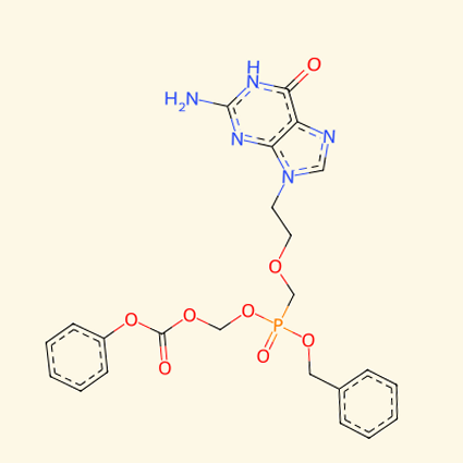 Nc1nc2c(ncn2CCOCP(=O)(OCOC(=O)Oc2ccccc2)OCc2ccccc2)c(=O)[nH]1